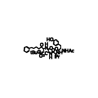 CC(=O)N[C@@H](Cc1ccc(O)cc1)C(=O)N[C@H](C(=O)N[C@@H](C)C(=O)NC(CC(=O)OC(C)(C)C)C(=O)CCCCc1ccccc1)C(C)C